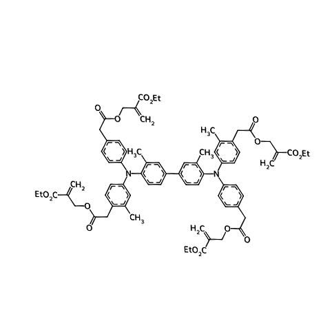 C=C(COC(=O)Cc1ccc(N(c2ccc(CC(=O)OCC(=C)C(=O)OCC)c(C)c2)c2ccc(-c3ccc(N(c4ccc(CC(=O)OCC(=C)C(=O)OCC)cc4)c4ccc(CC(=O)OCC(=C)C(=O)OCC)c(C)c4)c(C)c3)cc2C)cc1)C(=O)OCC